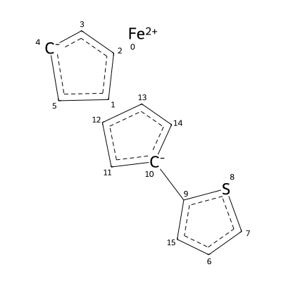 [Fe+2].c1cc[cH-]c1.c1csc(-[c-]2cccc2)c1